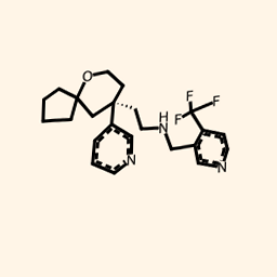 FC(F)(F)c1ccncc1CNCC[C@@]1(c2cccnc2)CCOC2(CCCC2)C1